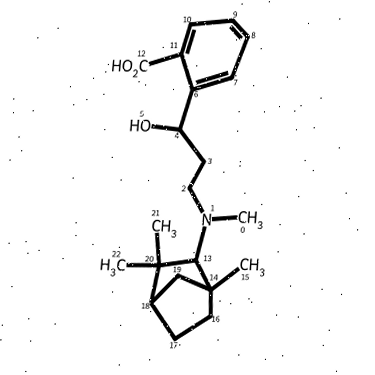 CN(CCC(O)c1ccccc1C(=O)O)C1C2(C)CCC(C2)C1(C)C